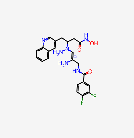 N/C(=C\N(N)C(CC(=O)NO)Cc1cnc2ccccc2c1)CNC(=O)c1ccc(F)c(F)c1